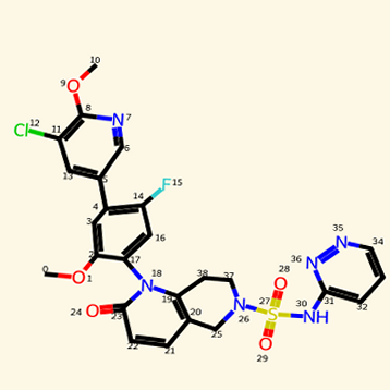 COc1cc(-c2cnc(OC)c(Cl)c2)c(F)cc1-n1c2c(ccc1=O)CN(S(=O)(=O)Nc1cccnn1)CC2